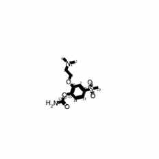 CN(C)CCOc1cc(S(C)(=O)=O)ccc1OC(N)=O